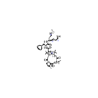 CO/N=C/C[C@H](/C=N/C=C\S)NC(=O)C(NC(=O)C(/N=C1\NCC(=O)N2CC[C@@H](C)[C@H]2C(=O)N[C@@H](C(C)C)C(=O)NC1C(C)(C)C)C(C)(C)C)[C@@H](C)c1ccccc1